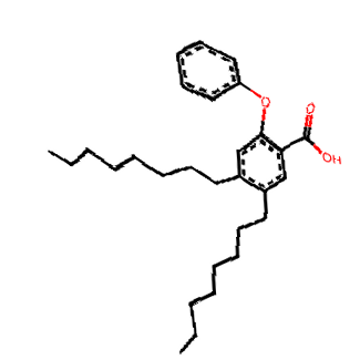 CCCCCCCCc1cc(Oc2ccccc2)c(C(=O)O)cc1CCCCCCCC